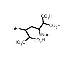 CCCCCCCCCC(CC(CCC)C(C(=O)O)C(=O)O)C(C(=O)O)C(=O)O